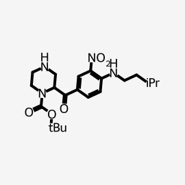 CC(C)CCNc1ccc(C(=O)C2CNCCN2C(=O)OC(C)(C)C)cc1[N+](=O)[O-]